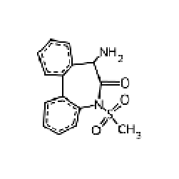 CS(=O)(=O)N1C(=O)C(N)c2ccccc2-c2ccccc21